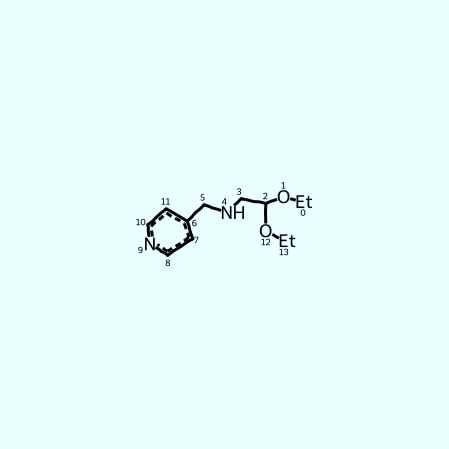 CCOC(CNCc1ccncc1)OCC